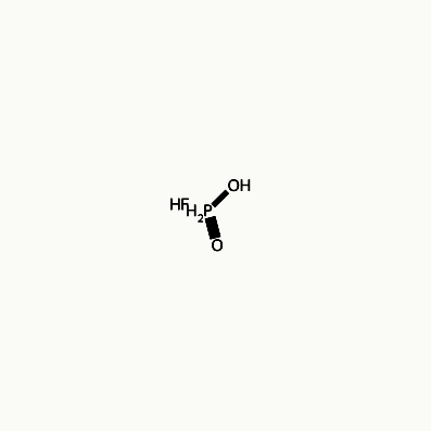 F.O=[PH2]O